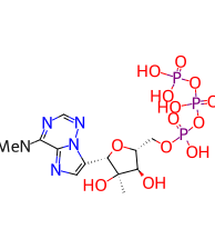 CNc1ncnn2c([C@@H]3O[C@H](COP(=O)(O)OP(=O)(O)OP(=O)(O)O)[C@@H](O)[C@@]3(C)O)cnc12